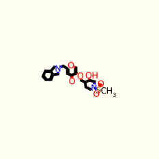 CS(=O)(=O)N1CCC(COc2coc(CN3Cc4ccccc4C3)cc2=O)C(O)C1